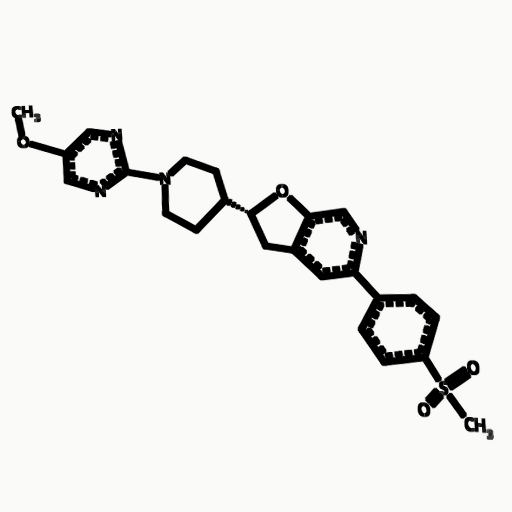 COc1cnc(N2CCC([C@H]3Cc4cc(-c5ccc(S(C)(=O)=O)cc5)ncc4O3)CC2)nc1